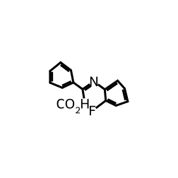 O=C(O)C(=Nc1ccccc1F)c1ccccc1